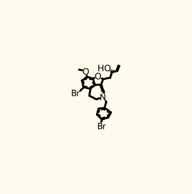 C=C[C@H](O)CC1Oc2c(OC)cc(Br)c3c2C1=CN(Cc1ccc(Br)cc1)CC3